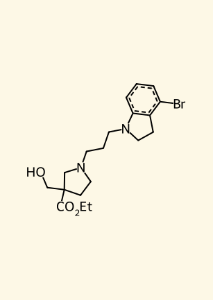 CCOC(=O)C1(CO)CCN(CCCN2CCc3c(Br)cccc32)C1